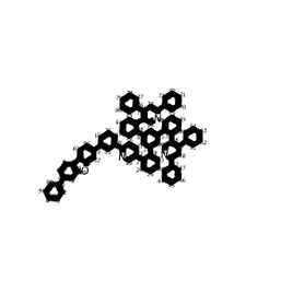 c1ccc(-c2ccc3c(c2)oc2cc(-c4cccc(-c5ccc(-c6ccccc6-c6cc(-c7ccccc7-c7cnc(-c8ccccc8)cc7-c7ccccc7)cc(-c7ccccc7-c7cnc(-c8ccccc8)cc7-c7ccccc7)c6)cn5)c4)ccc23)cc1